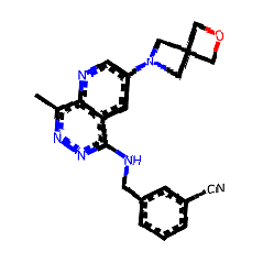 Cc1nnc(NCc2cccc(C#N)c2)c2cc(N3CC4(COC4)C3)cnc12